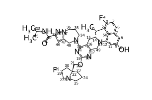 CCc1c(F)ccc2cc(O)cc(N3CCc4c(nc(OC[C@@]56CCCN5C[C@H](F)C6)nc4N4CCCn5nc(C(=O)NC(C)C)cc5C4)C3)c12